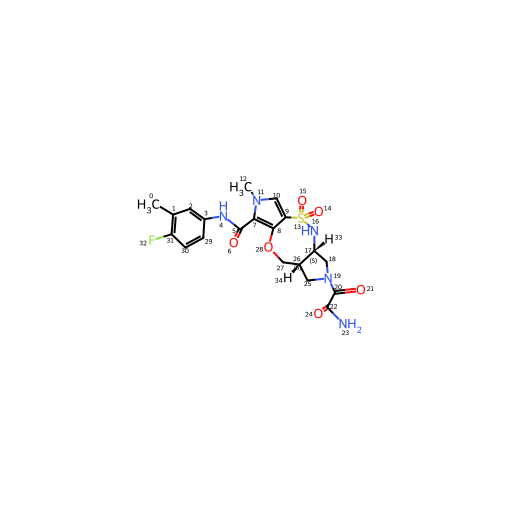 Cc1cc(NC(=O)c2c3c(cn2C)S(=O)(=O)N[C@@H]2CN(C(=O)C(N)=O)C[C@@H]2CO3)ccc1F